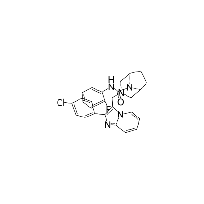 O=C(Nc1ccccc1F)N1C2CCC1CN(Cc1c(-c3ccc(Cl)cc3)nc3ccccn13)C2